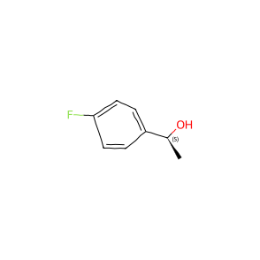 C[C@H](O)c1ccc(F)cc1